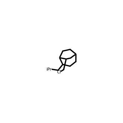 CC(C)CC1CCC2CCC1C(CCl)C2